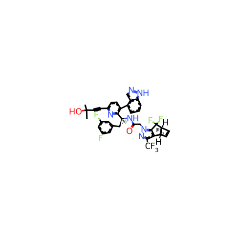 CC(C)(O)C#Cc1ccc(-c2cccc3[nH]ncc23)c([C@H](Cc2cc(F)cc(F)c2)NC(=O)Cn2nc(C(F)(F)F)c3c2C(F)(F)[C@@H]2C=C[C@H]32)n1